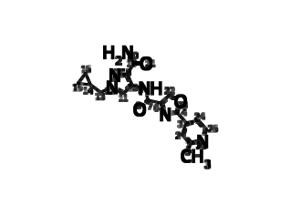 Cc1cc(-c2nc(C(=O)Nc3cn(CC4CC4)nc3C(N)=O)co2)ccn1